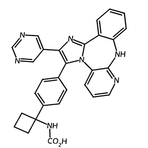 O=C(O)NC1(c2ccc(-c3c(-c4cncnc4)nc4n3-c3cccnc3Nc3ccccc3-4)cc2)CCC1